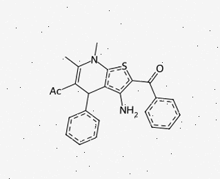 CC(=O)C1=C(C)N(C)c2sc(C(=O)c3ccccc3)c(N)c2C1c1ccccc1